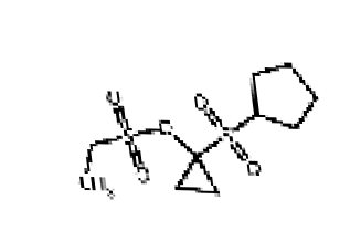 CCS(=O)(=O)OC1(S(=O)(=O)C2CCCC2)CC1